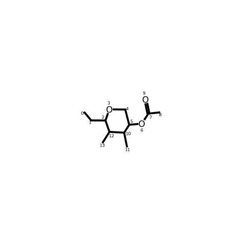 CCC1OCC(OC(C)=O)C(C)C1C